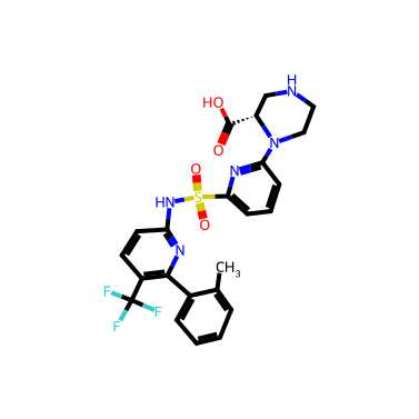 Cc1ccccc1-c1nc(NS(=O)(=O)c2cccc(N3CCNC[C@H]3C(=O)O)n2)ccc1C(F)(F)F